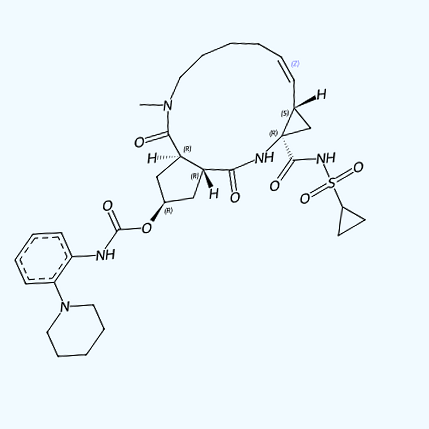 CN1CCCC/C=C\[C@@H]2C[C@@]2(C(=O)NS(=O)(=O)C2CC2)NC(=O)[C@@H]2C[C@@H](OC(=O)Nc3ccccc3N3CCCCC3)C[C@H]2C1=O